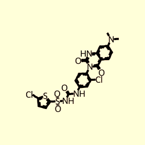 CN(C)c1ccc2c(=O)n(-c3ccc(NC(=O)NS(=O)(=O)c4ccc(Cl)s4)cc3Cl)c(=O)[nH]c2c1